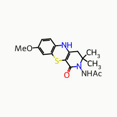 COc1ccc2c(c1)SC1=C(CC(C)(C)N(NC(C)=O)C1=O)N2